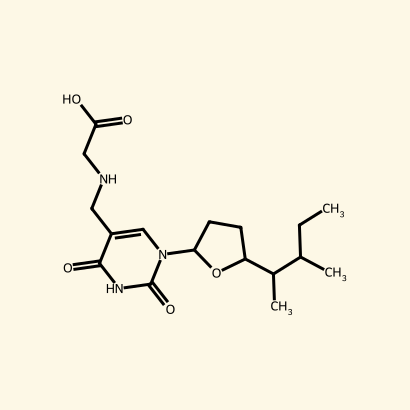 CCC(C)C(C)C1CCC(n2cc(CNCC(=O)O)c(=O)[nH]c2=O)O1